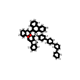 c1ccc(-c2cccc(-c3ccc(-c4ccc(N(c5c(-c6ccc7ccccc7c6)c6ccccc6c6ccccc56)c5cccc6c5sc5ccccc56)cc4)cc3)c2)cc1